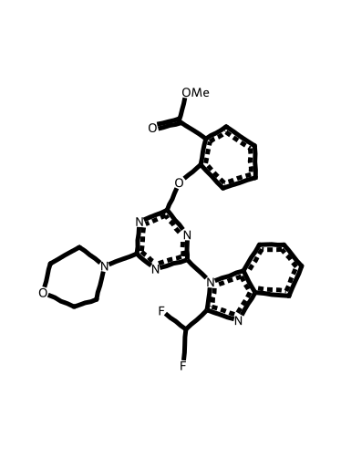 COC(=O)c1ccccc1Oc1nc(N2CCOCC2)nc(-n2c(C(F)F)nc3ccccc32)n1